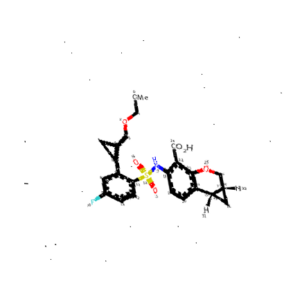 COCOCC1CC1c1cc(F)ccc1S(=O)(=O)Nc1ccc2c(c1C(=O)O)OC[C@@H]1C[C@H]21